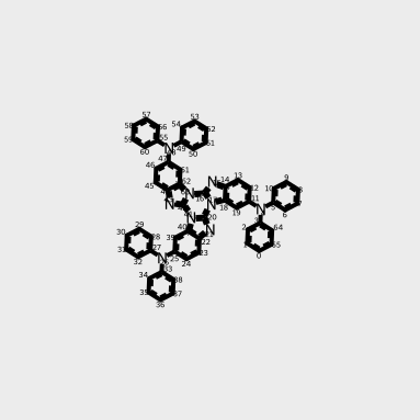 c1ccc(N(c2ccccc2)c2ccc3nc4n(c3c2)c2nc3ccc(N(c5ccccc5)c5ccccc5)cc3n2c2nc3ccc(N(c5ccccc5)c5ccccc5)cc3n42)cc1